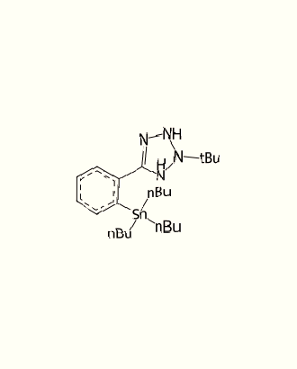 CCC[CH2][Sn]([CH2]CCC)([CH2]CCC)[c]1ccccc1C1=NNN(C(C)(C)C)N1